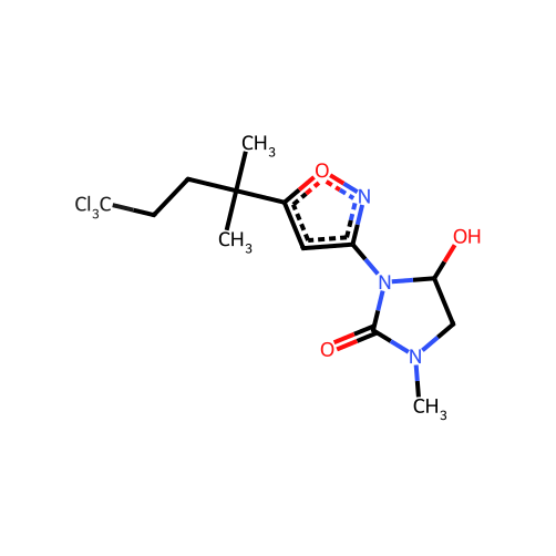 CN1CC(O)N(c2cc(C(C)(C)CCC(Cl)(Cl)Cl)on2)C1=O